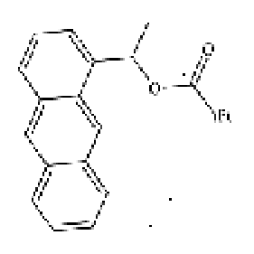 CCC(C)C(=O)OC(C)c1cccc2cc3ccccc3cc12